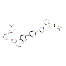 CC(C)(C)OC(=O)N[C@@H]1CCC[C@@H]1c1ncc(-c2ccc(-c3ccc4c(c3)OCCc3nc([C@@H]5CCCN5C(=O)OC(C)(C)C)[nH]c3-4)cc2)[nH]1